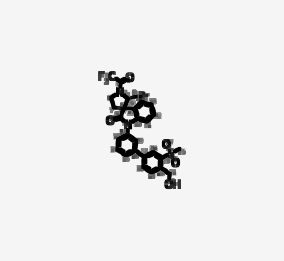 CC(C)[C@@H]1N(C(=O)C(F)(F)F)CC[C@@]12C(=O)N(c1cccc(-c3ccc(CO)c(S(C)(=O)=O)c3)c1)c1ccccc12